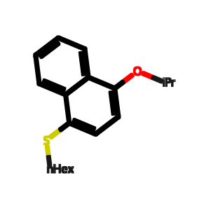 CCCCCCSc1ccc(OC(C)C)c2ccccc12